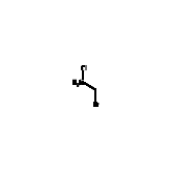 Cl[SiH2]CBr